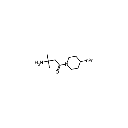 CCCC1CCN(C(=O)CC(C)(C)N)CC1